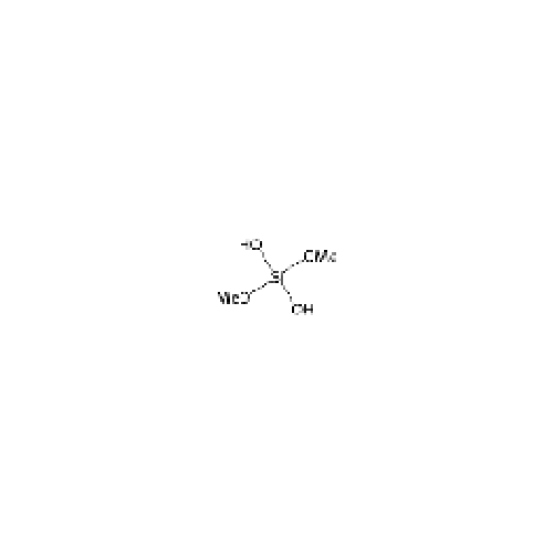 CO[Si](O)(O)OC